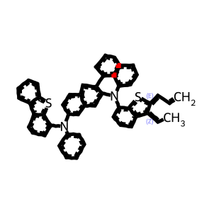 C=C/C=c1/sc2c(N(c3ccccc3)c3cc4cc(N(c5ccccc5)c5cccc6c5sc5ccccc56)ccc4cc3-c3ccccc3)cccc2/c1=C/C